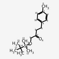 Cc1ccc(CCC(=O)CO[Si](C)(C)C(C)(C)C)cc1